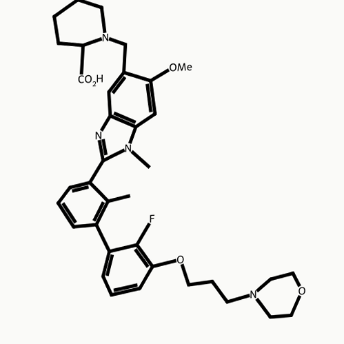 COc1cc2c(cc1CN1CCCCC1C(=O)O)nc(-c1cccc(-c3cccc(OCCCN4CCOCC4)c3F)c1C)n2C